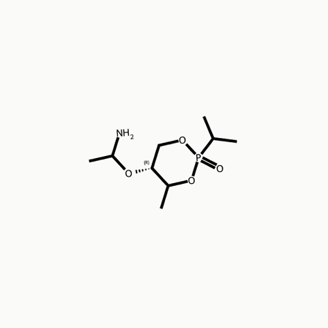 CC(N)O[C@@H]1COP(=O)(C(C)C)OC1C